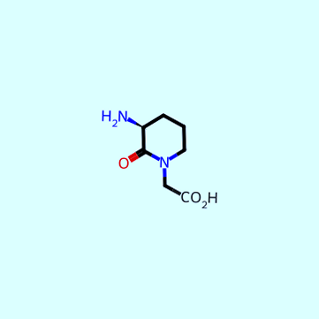 N[C@H]1CCCN(CC(=O)O)C1=O